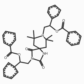 CC1(C)CC2(CC(C)(C)N1CC(OC(=O)c1ccccc1)c1ccccc1)NC(=O)N(CC(OC(=O)c1ccccc1)c1ccccc1)C2=O